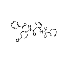 O=C(c1ccccc1)c1cc(Cl)ccc1NC(=O)c1sccc1NS(=O)(=O)c1ccccc1